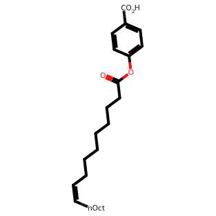 CCCCCCCC/C=C\CCCCCCCC(=O)Oc1ccc(C(=O)O)cc1